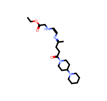 CCOC(=O)CN/C=C\N=C(/C)CCC(=O)N1CCC(N2CCCCC2)CC1